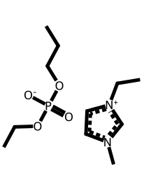 CCCOP(=O)([O-])OCC.CC[n+]1ccn(C)c1